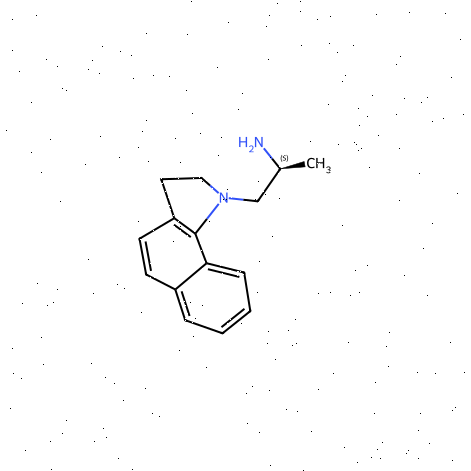 C[C@H](N)CN1CCc2ccc3ccccc3c21